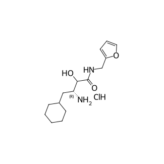 Cl.N[C@H](CC1CCCCC1)C(O)C(=O)NCc1ccco1